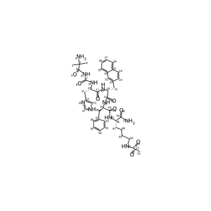 CC(C)(N)C(=O)NC(=O)N[C@@H](Cc1c[nH]cn1)C(=O)N[C@H](Cc1ccc2ccccc2c1)C(=O)N[C@H](Cc1ccccc1)C(=O)N[C@@H](CCCCNS(C)(=O)=O)C(N)=O